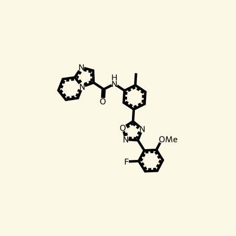 COc1cccc(F)c1-c1noc(-c2ccc(C)c(NC(=O)c3cnc4ccccn34)c2)n1